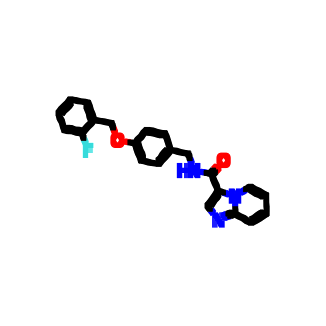 O=C(NCc1ccc(OCc2ccccc2F)cc1)c1cnc2ccccn12